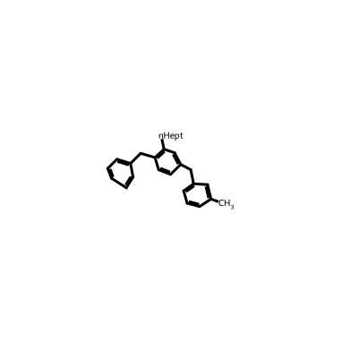 CCCCCCCc1cc(Cc2cccc(C)c2)ccc1Cc1ccccc1